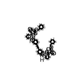 O=C(OCc1ccccc1)N1COC[C@@H]1C(=O)N1CCC[C@H]1c1nc2cc(C#Cc3ccc4[nH]c([C@@H]5CCCN5C(=O)[C@H]5COCN5C(=O)OCc5ccccc5)nc4c3)ccc2[nH]1